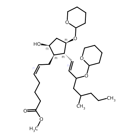 CCCC(C)CC(/C=C/[C@@H]1[C@@H](C/C=C\CCCC(=O)OC)[C@@H](O)C[C@H]1OC1CCCCO1)OC1CCCCO1